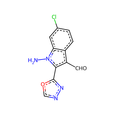 Nn1c(-c2nnco2)c(C=O)c2ccc(Cl)cc21